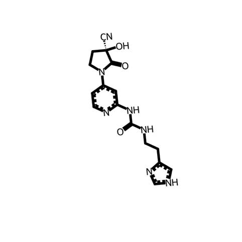 N#C[C@@]1(O)CCN(c2ccnc(NC(=O)NCCc3c[nH]cn3)c2)C1=O